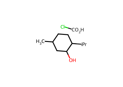 CC1CCC(C(C)C)C(O)C1.O=C(O)Cl